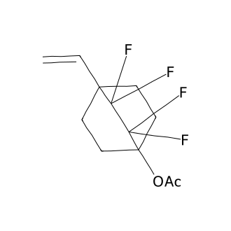 C=CC12CCC(OC(C)=O)(CC1)C(F)(F)C2(F)F